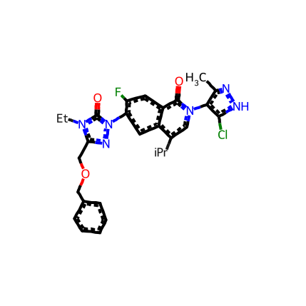 CCn1c(COCc2ccccc2)nn(-c2cc3c(C(C)C)cn(-c4c(C)n[nH]c4Cl)c(=O)c3cc2F)c1=O